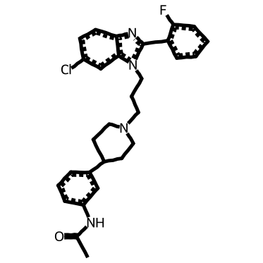 CC(=O)Nc1cccc(C2CCN(CCCn3c(-c4ccccc4F)nc4ccc(Cl)cc43)CC2)c1